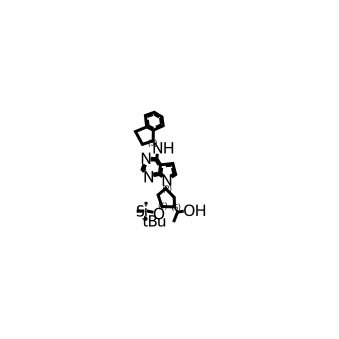 CC(O)[C@@H]1C[C@@H](n2ccc3c(N[C@H]4CCc5ccccc54)ncnc32)C[C@@H]1O[Si](C)(C)C(C)(C)C